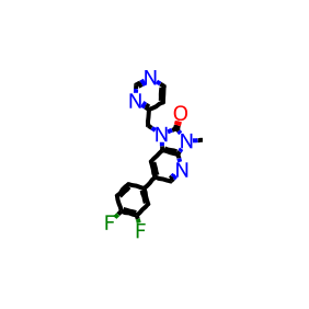 Cn1c(=O)n(Cc2ccncn2)c2cc(-c3ccc(F)c(F)c3)cnc21